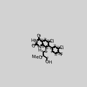 CO[C@@H](CO)CSc1c(-c2ccc(F)c(Cl)c2)c(Cl)cc2c(=O)[nH]c(=O)[nH]c12